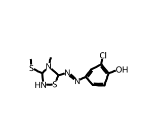 CSC1NSC(/N=N/c2ccc(O)c(Cl)c2)N1C